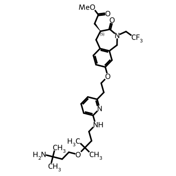 COC(=O)C[C@@H]1Cc2ccc(OCCc3cccc(NCCC(C)(C)OCCC(C)(C)N)n3)cc2CN(CC(F)(F)F)C1=O